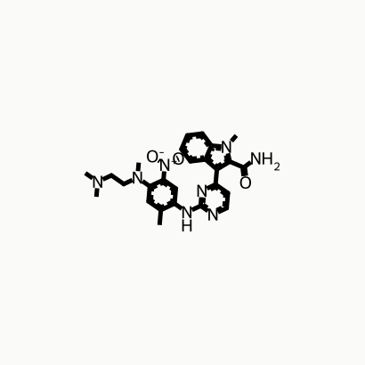 Cc1cc(N(C)CCN(C)C)c([N+](=O)[O-])cc1Nc1nccc(-c2c(C(N)=O)n(C)c3ccccc23)n1